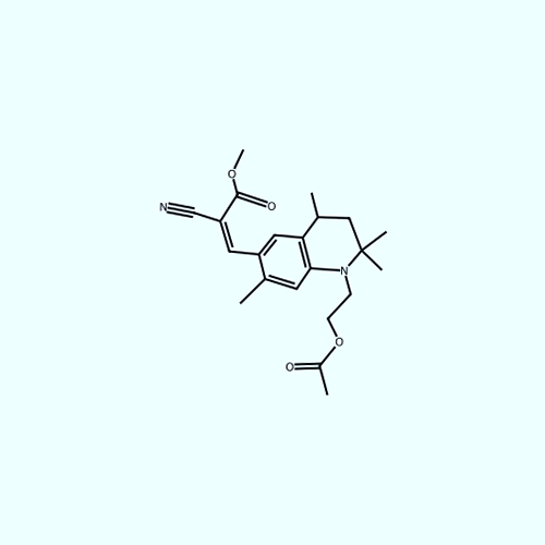 COC(=O)C(C#N)=Cc1cc2c(cc1C)N(CCOC(C)=O)C(C)(C)CC2C